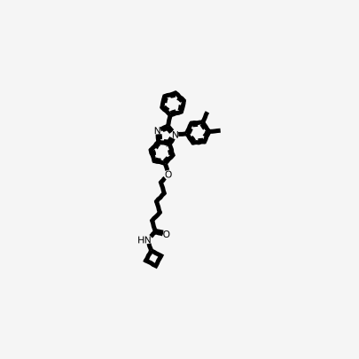 Cc1ccc(-n2c(-c3ccccc3)nc3ccc(OCCCCCC(=O)NC4CCC4)cc32)cc1C